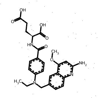 CCN(Cc1ccc2nc(N)cc(OC)c2c1)c1ccc(C(=O)N[C@@H](CCC(=O)O)C(=O)O)cc1